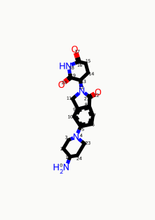 NC1CCN(c2ccc3c(c2)CN(C2CCC(=O)NC2=O)C3=O)CC1